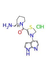 Cl.NC[C@H]1CCCCN1C(=O)C1=CN(c2ccnc3[nH]ccc23)CCS1